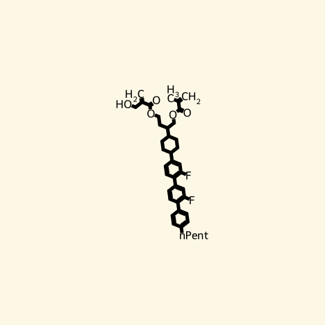 C=C(C)C(=O)OCC(CCOC(=O)C(=C)CO)C1CCC(c2ccc(-c3ccc(-c4ccc(CCCCC)cc4)c(F)c3)c(F)c2)CC1